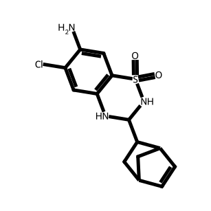 Nc1cc2c(cc1Cl)NC(C1CC3C=CC1C3)NS2(=O)=O